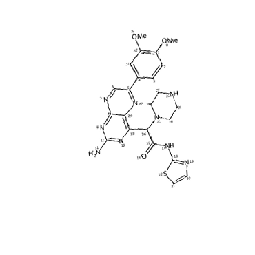 COc1ccc(-c2cnc3nc(N)nc(C(C(=O)Nc4nccs4)N4CCNCC4)c3n2)cc1OC